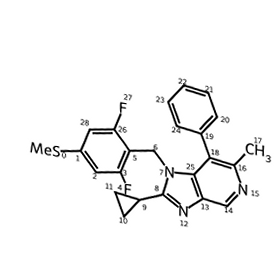 CSc1cc(F)c(Cn2c(C3CC3)nc3cnc(C)c(-c4ccccc4)c32)c(F)c1